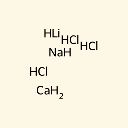 Cl.Cl.Cl.[CaH2].[LiH].[NaH]